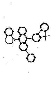 CC1(C)c2ccccc2-c2cc(-c3c4ccccc4c(N4CCCc5ccccc54)c4ccc(-c5ccccc5)cc34)ccc21